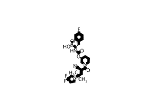 CC(C)(/C=C(\C#N)C(=O)N1CCC[C@H](OC(=O)N[C@@H](Cc2ccc(F)cc2)B(O)O)C1)N1CCC(F)(F)C1